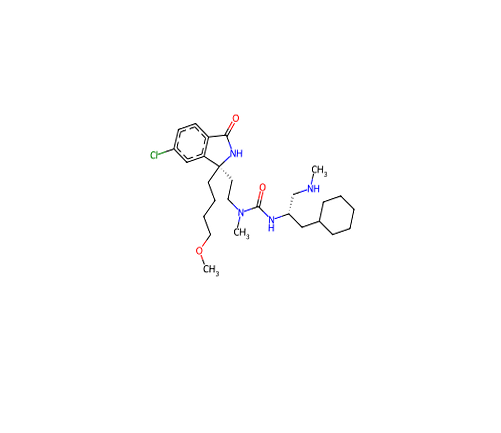 CNC[C@H](CC1CCCCC1)NC(=O)N(C)CC[C@@]1(CCCCOC)NC(=O)c2ccc(Cl)cc21